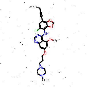 COCC#Cc1cc(Cl)c(Nc2ncnc3cc(OCCCN4CCN(C=O)CC4)cc(OC(C)C)c23)c2c1OCO2